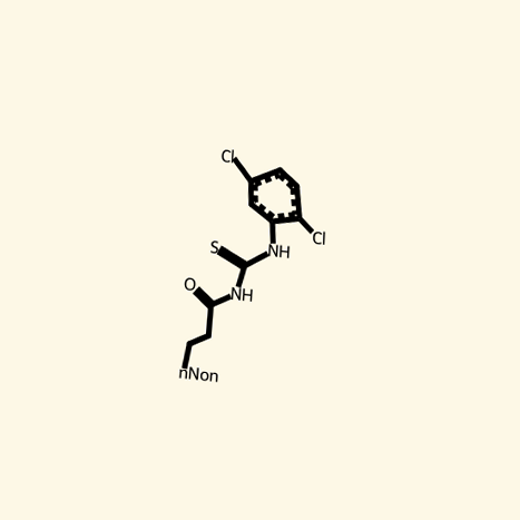 CCCCCCCCCCCC(=O)NC(=S)Nc1cc(Cl)ccc1Cl